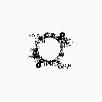 CC(C)C[C@@H]1NC(=O)[C@H](Cc2c[nH]cn2)NC(=O)[C@H](Cc2c[nH]c3ccccc23)NC(=O)[C@H](C)NC(=O)[C@@H](NC(=O)[C@H](CC(=O)O)NC(C)(C)C)CCc2cn(nn2)CCCC[C@@H](C(=O)N[C@H](C(N)=O)[C@@H](C)O)NC(=O)[C@H](Cc2c[nH]c3ccccc23)NC(=O)[C@H](C(C)C)NC(=O)[C@H](CC(C)C)NC(=O)[C@H](CCC(=O)O)NC(=O)CNC1=O